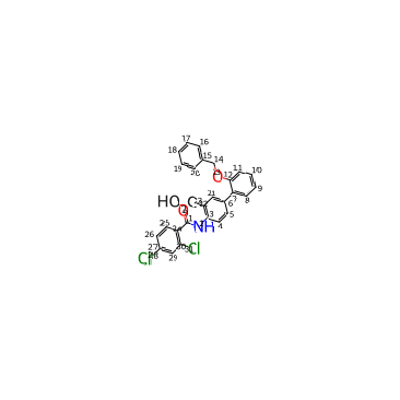 O=C(Nc1ccc(-c2ccccc2OCc2ccccc2)cc1C(=O)O)c1ccc(Cl)cc1Cl